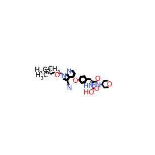 C[Si](C)(C)CCOCn1cc(C#N)c2c(Oc3ccc(C[C@H](NC(=O)O)C(=O)NC4CCOCC4)cc3)ccnc21